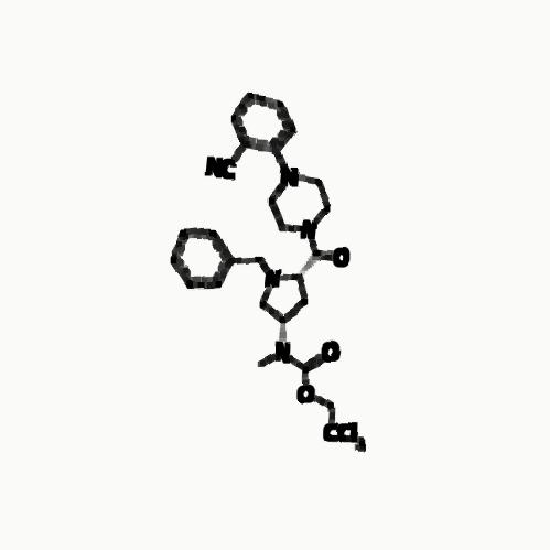 CN(C(=O)OCC(Cl)(Cl)Cl)[C@H]1C[C@@H](C(=O)N2CCN(c3ccccc3C#N)CC2)N(Cc2ccccc2)C1